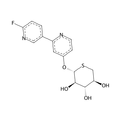 O[C@@H]1[C@@H](O)[C@H](Oc2ccnc(-c3ccc(F)nc3)c2)SC[C@H]1O